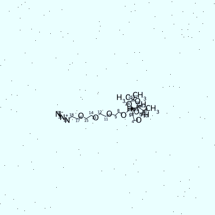 C[C@H]1[C@H]2OC[C@](COCCOCCOCCOCCN=[N+]=[N-])(O2)[C@@H]2OC(C)(C)O[C@H]12